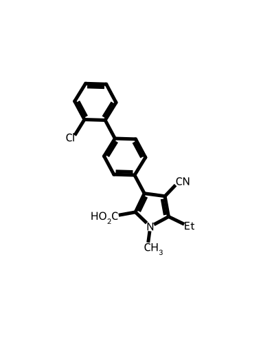 CCc1c(C#N)c(-c2ccc(-c3ccccc3Cl)cc2)c(C(=O)O)n1C